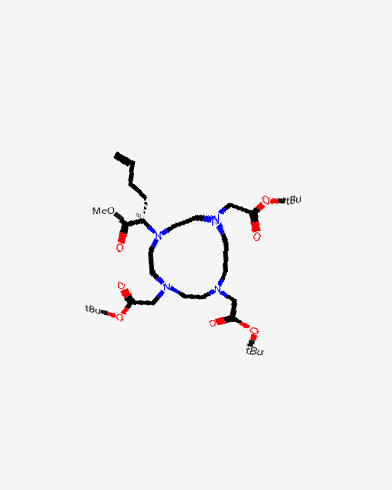 C=CCC[C@@H](C(=O)OC)N1CCN(CC(=O)OC(C)(C)C)CCN(CC(=O)OC(C)(C)C)CCN(CC(=O)OC(C)(C)C)CC1